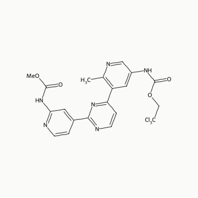 COC(=O)Nc1cc(-c2nccc(-c3cc(NC(=O)OCC(Cl)(Cl)Cl)cnc3C)n2)ccn1